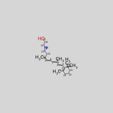 CC1=C(/C=C/C(C)=C/C=C/C(C)CC=NCCO)C(C)(C)CCC1